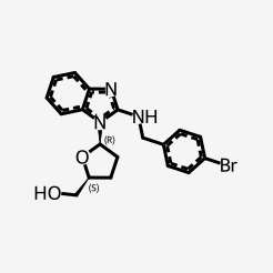 OC[C@@H]1CC[C@H](n2c(NCc3ccc(Br)cc3)nc3ccccc32)O1